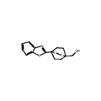 OCC12CCC(c3nc4ccccc4s3)(CC1)CC2